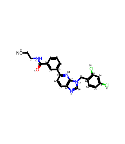 N#CCCNC(=O)c1cccc(-c2ccc3ncn(Cc4ccc(Cl)cc4Cl)c3n2)c1